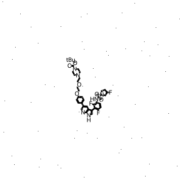 CC(C)(C)OC(=O)N1CCN(CCOCCOc2ccc(-c3cnc4[nH]cc(-c5c(F)ccc(NS(=O)(=O)N6CC[C@@H](F)C6)c5F)c4c3)cc2)CC1